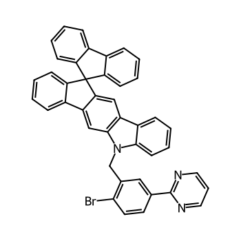 Brc1ccc(-c2ncccn2)cc1Cn1c2ccccc2c2cc3c(cc21)-c1ccccc1C31c2ccccc2-c2ccccc21